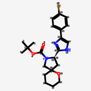 CC(C)(C)OC(=O)N1C[C@@]2(CCCCO2)C[C@H]1c1nc(-c2ccc(Br)cc2)c[nH]1